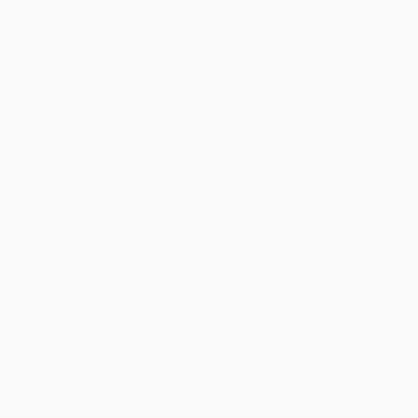 CCCCCCCCC1CCSCSCCCSCCSC1